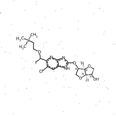 C[Si](C)(C)CCOC(I)c1nc2nc(O[C@@H]3CO[C@H]4[C@@H]3OC[C@H]4O)[nH]c2cc1Cl